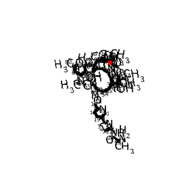 CCC(=O)/N=C1\[C@H](C)C[C@@]2(C)OC/C(=N/OCc3ccc(-c4nc(NC(=O)[C@H](C)N)cs4)cn3)CC[C@H]([C@H]1C)[C@](C)(O)[C@@H](CC)OC(=O)[C@@](C)(F)C(=O)[C@H](C)[C@H]2O[C@@H]1O[C@H](C)C[C@H](N(C)C)[C@H]1O